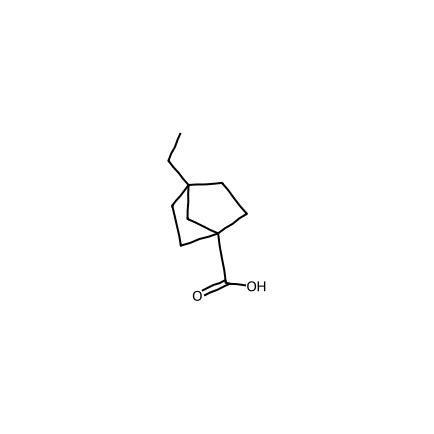 CCC12CCC(C(=O)O)(CC1)C2